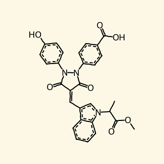 COC(=O)C(C)n1cc(C=C2C(=O)N(c3ccc(O)cc3)N(c3ccc(C(=O)O)cc3)C2=O)c2ccccc21